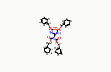 O=C(N=C(NC(=O)OCc1ccccc1)N(C(=O)OCc1ccccc1)C(=O)OCc1ccccc1)OCc1ccccc1